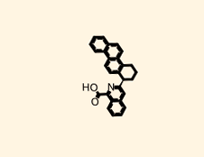 O=C(O)c1nc([C@@H]2CCCc3c2ccc2c3ccc3ccccc32)cc2ccccc12